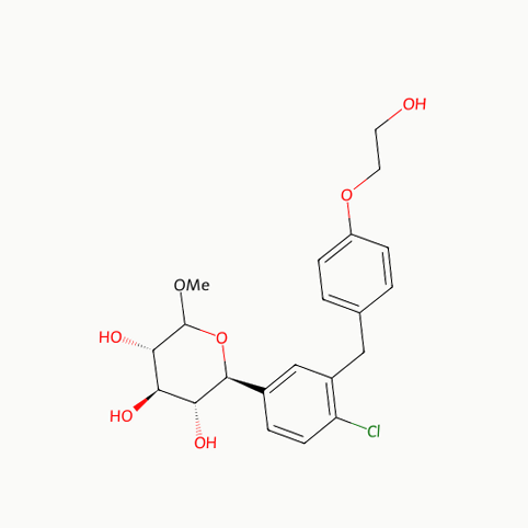 COC1O[C@@H](c2ccc(Cl)c(Cc3ccc(OCCO)cc3)c2)[C@H](O)[C@@H](O)[C@@H]1O